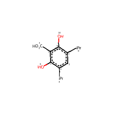 CC(C)c1cc(C(C)C)c(O)c(C(=O)O)c1O